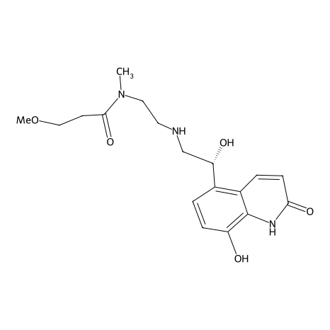 COCCC(=O)N(C)CCNC[C@H](O)c1ccc(O)c2[nH]c(=O)ccc12